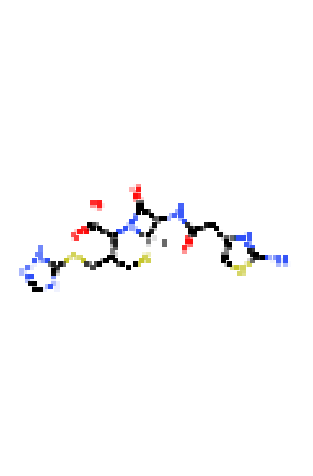 Nc1nc(CC(=O)NC2C(=O)N3C(C(=O)O)=C(CSc4ncn[nH]4)CS[C@H]23)cs1